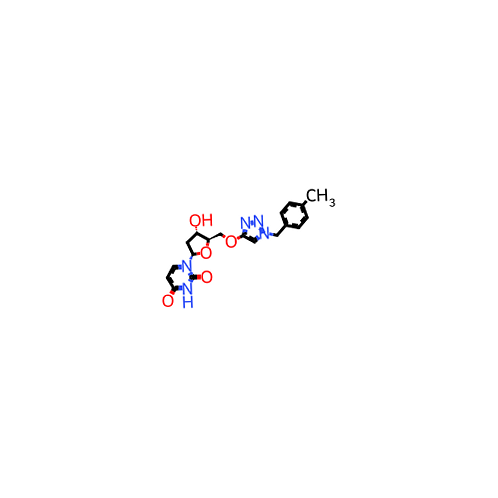 Cc1ccc(Cn2cc(OC[C@H]3O[C@@H](n4ccc(=O)[nH]c4=O)C[C@@H]3O)nn2)cc1